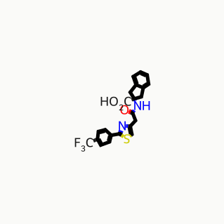 O=C(Cc1csc(-c2ccc(C(F)(F)F)cc2)n1)NC1(C(=O)O)Cc2ccccc2C1